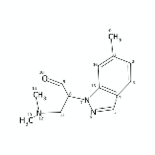 Cc1ccc2cnn(C(C=O)CN(C)C)c2c1